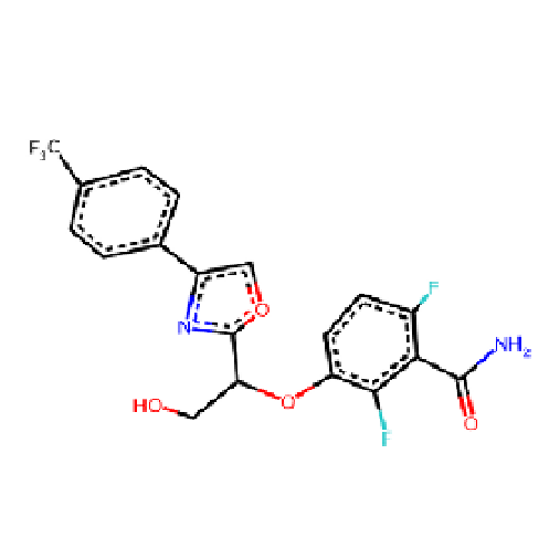 NC(=O)c1c(F)ccc(OC(CO)c2nc(-c3ccc(C(F)(F)F)cc3)co2)c1F